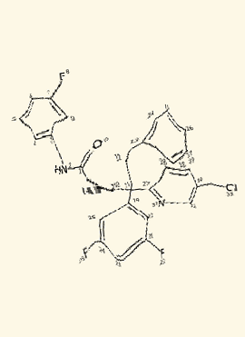 O=C(Nc1cccc(F)c1)NC(Cc1ccccc1)(c1cc(F)cc(F)c1)c1ccc(Cl)cn1